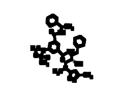 Cc1cc(N(C)C[C@@H](O)[C@H](Cc2ccccc2)NC(=O)c2cc(C(=O)N[C@H](C)c3ccccc3)cc(N(C)S(C)(=O)=O)c2)on1